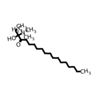 CCCCCCCCCCCCCCCC(=O)C(O)(CC)[N+](C)(C)C